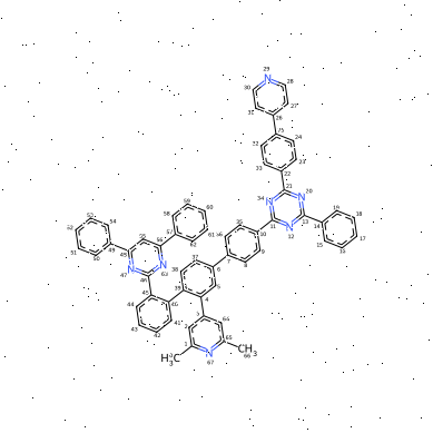 Cc1cc(-c2cc(-c3ccc(-c4nc(-c5ccccc5)nc(-c5ccc(-c6ccncc6)cc5)n4)cc3)ccc2-c2ccccc2-c2nc(-c3ccccc3)cc(-c3ccccc3)n2)cc(C)n1